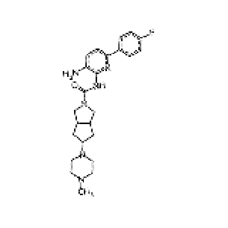 CN1CCN(C2CC3CN(C(=O)Nc4nc(-c5ccc(F)cc5)ccc4N)CC3C2)CC1